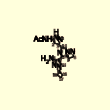 CC(=O)Nc1cc(-c2cn3nccc3c(-c3cn(C4CCC4)nc3N)n2)n[nH]1